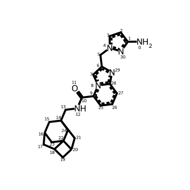 Nc1ccn(Cc2cn3c(C(=O)NCC45CC6CC7CC(C4)C7(C6)C5)cccc3n2)n1